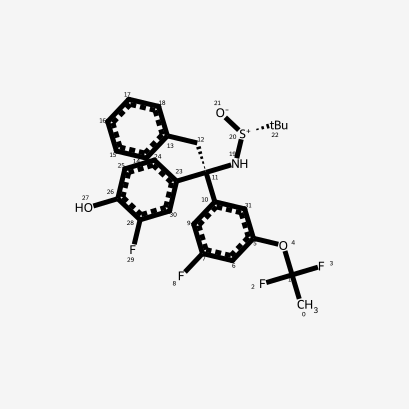 CC(F)(F)Oc1cc(F)cc([C@](Cc2ccccc2)(N[S@+]([O-])C(C)(C)C)c2ccc(O)c(F)c2)c1